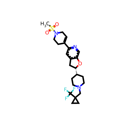 CS(=O)(=O)N1CC=C(c2cc3c(cn2)O[C@H](C2CCN(CC4(C(F)(F)F)CC4)CC2)C3)CC1